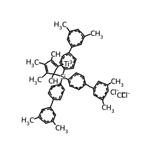 CC1=C(C)C(C)([Si](c2ccc(-c3cc(C)cc(C)c3)cc2)(c2ccc(-c3cc(C)cc(C)c3)cc2)c2ccc(-c3cc(C)cc(C)c3)cc2)[C]([Ti+3])=C1C.[Cl-].[Cl-].[Cl-]